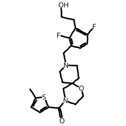 Cc1ccc(C(=O)N2CCOC3(CCN(Cc4ccc(F)c(CCO)c4F)CC3)C2)s1